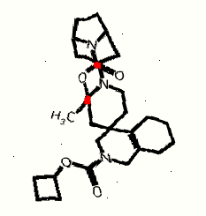 CCOC(=O)N1C2CCC1CC(N1CCC3(CC1)CN(C(=O)OC1CCC1)CC1=C3CCCC1)C2